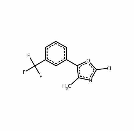 Cc1nc(Cl)oc1-c1cccc(C(F)(F)F)c1